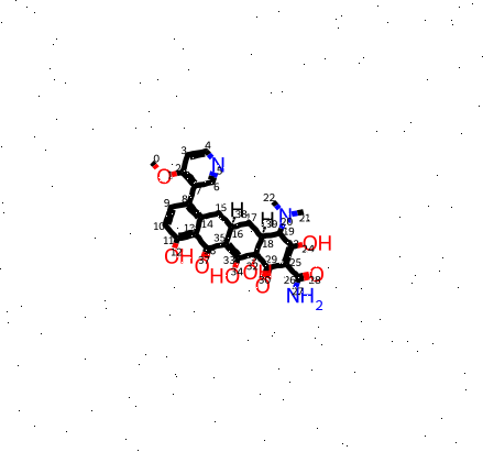 COc1ccncc1-c1ccc(O)c2c1C[C@H]1C[C@H]3C(N(C)C)C(O)=C(C(N)=O)C(=O)[C@@]3(O)C(O)=C1C2=O